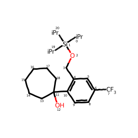 CC(C)[Si](OCc1cc(C(F)(F)F)ccc1C1(O)CCCCCC1)(C(C)C)C(C)C